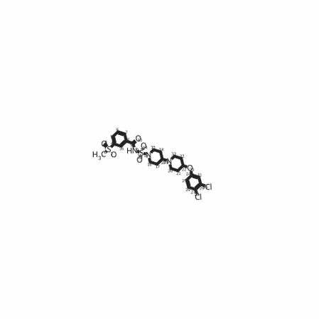 CS(=O)(=O)c1cccc(C(=O)NS(=O)(=O)N2CCC(N3CCC(Oc4ccc(Cl)c(Cl)c4)CC3)CC2)c1